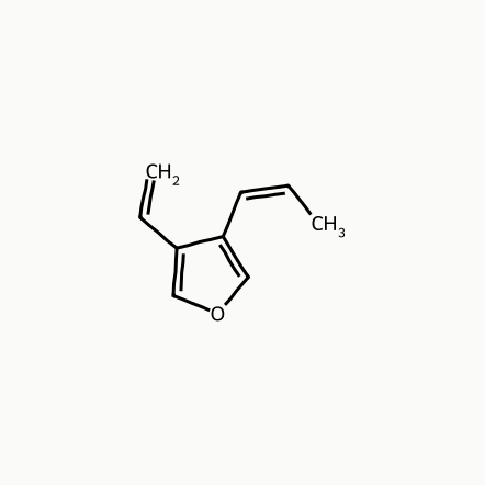 C=Cc1cocc1/C=C\C